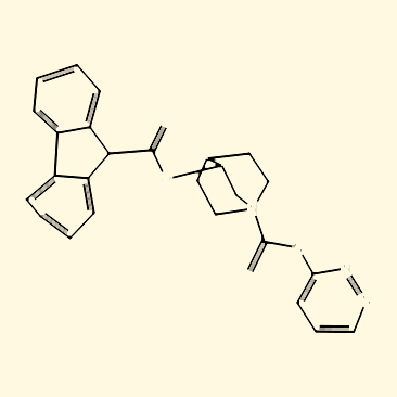 O=C(OC1C[N+]2(C(=O)Nc3cccnn3)CCC1CC2)C1c2ccccc2-c2ccccc21